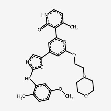 COc1ccc(C)c(Nc2ncc(-c3cc(OCCN4CCOCC4)nc(-c4c(C)cc[nH]c4=O)c3)o2)c1